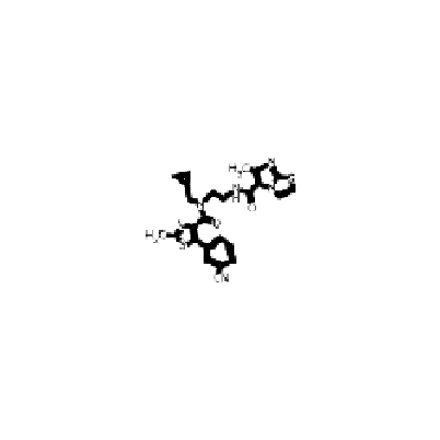 Cc1nc(C(=O)N(CCNC(=O)c2c(C)nc3sccn23)CC2CC2)c(-c2cccc(C#N)c2)s1